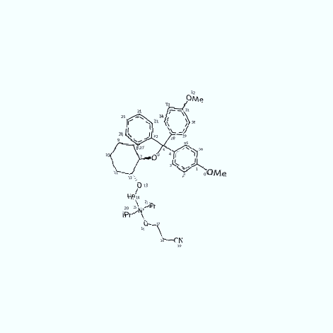 COc1ccc(C(O[C@@H]2CCCC[C@H]2OP[N+](OCCC#N)(C(C)C)C(C)C)(c2ccccc2)c2ccc(OC)cc2)cc1